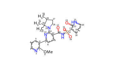 COc1ncccc1-c1ccc(C(=O)NS(=O)(=O)c2ccc[nH]c2=O)c(N2CCC(C)C2(C)C)n1